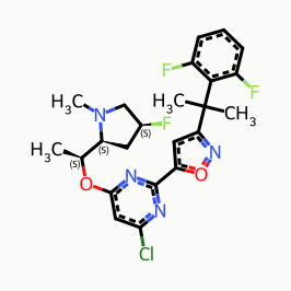 C[C@H](Oc1cc(Cl)nc(-c2cc(C(C)(C)c3c(F)cccc3F)no2)n1)[C@@H]1C[C@H](F)CN1C